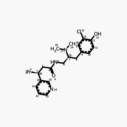 CC(C)[C@@H](CC(=O)NC[C@H](Cc1ccc(O)c(Cl)c1)N(C)C)c1cccnc1